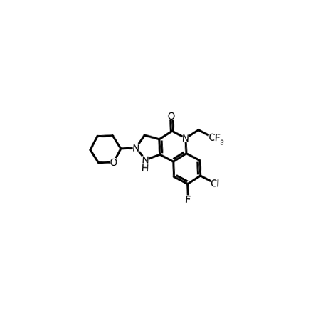 O=c1c2c(c3cc(F)c(Cl)cc3n1CC(F)(F)F)NN(C1CCCCO1)C2